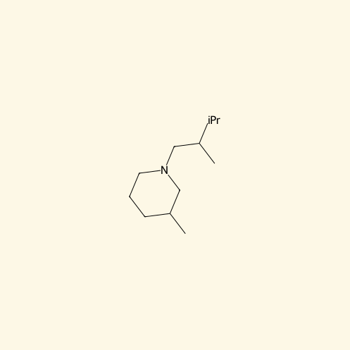 CC1CCCN(CC(C)C(C)C)C1